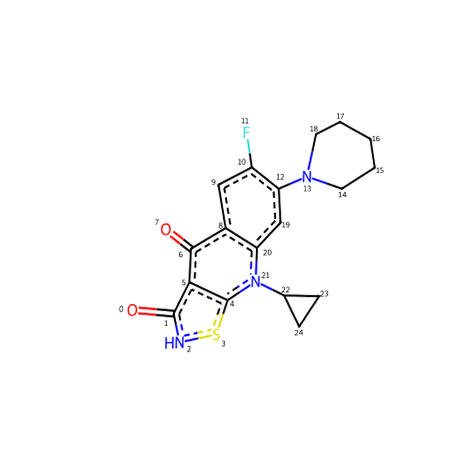 O=c1[nH]sc2c1c(=O)c1cc(F)c(N3CCCCC3)cc1n2C1CC1